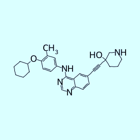 Cc1cc(Nc2ncnc3ccc(C#CC4(O)CCCNC4)cc23)ccc1OC1CCCCC1